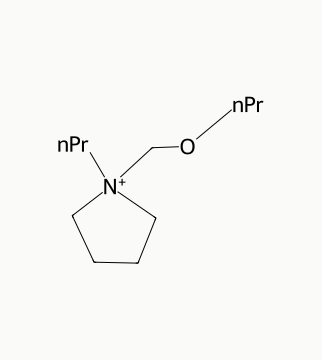 CCCOC[N+]1(CCC)CCCC1